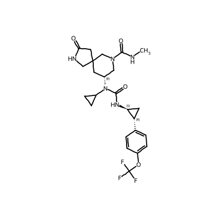 CNC(=O)N1C[C@H](N(C(=O)N[C@H]2C[C@@H]2c2ccc(OC(F)(F)F)cc2)C2CC2)CC2(CNC(=O)C2)C1